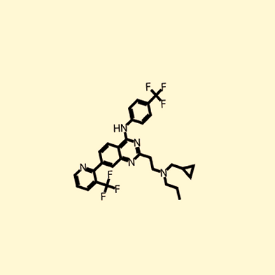 CCCN(CCc1nc(Nc2ccc(C(F)(F)F)cc2)c2ccc(-c3ncccc3C(F)(F)F)cc2n1)CC1CC1